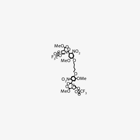 COC(=O)C1CC(OS(=O)(=O)C(F)(F)F)=CN1C(=O)c1cc(OC)c(OCCCCCOc2cc([N+](=O)[O-])c(C(=O)N3C=C(OS(=O)(=O)C(F)(F)F)CC3C(=O)OC)cc2OC)cc1[N+](=O)[O-]